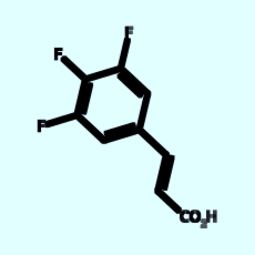 O=C(O)C=Cc1cc(F)c(F)c(F)c1